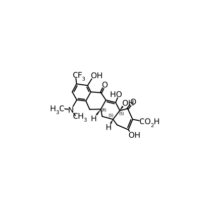 CN(C)c1cc(C(F)(F)F)c(O)c2c1C[C@H]1C[C@H]3CC(O)=C(C(=O)O)C(=O)[C@@]3(O)C(O)=C1C2=O